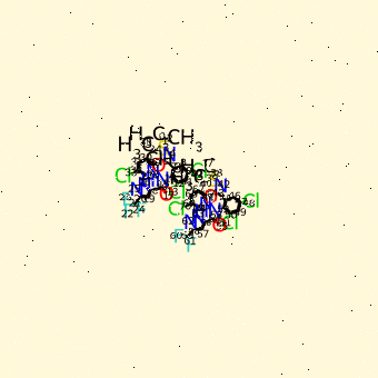 CC(C)S(=NC(=O)c1cc(Cl)cc(Cl)c1NC(=O)c1cc(C(F)(F)F)nn1-c1ncccc1Cl)C(C)C.CCS(CC)=NC(=O)c1cc(Cl)cc(Cl)c1NC(=O)c1cc(C(F)F)nn1-c1ncccc1Cl